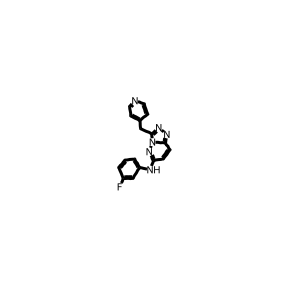 Fc1cccc(Nc2ccc3nnc(Cc4ccncc4)n3n2)c1